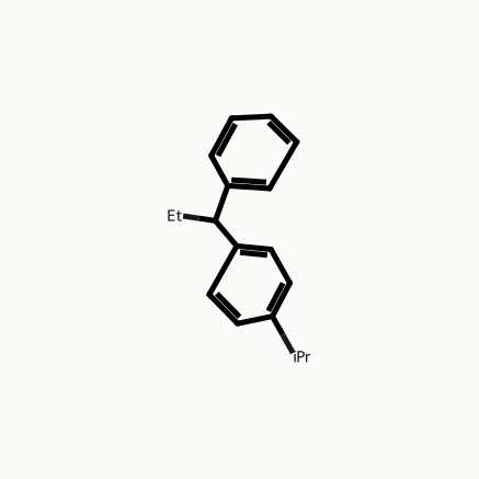 CCC(c1ccccc1)c1ccc(C(C)C)cc1